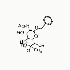 CC(=O)N[C@@H]1[C@@H](OCc2ccccc2)O[C@H](C(O)P(C)(C)=O)[C@@H](O)[C@@H]1O